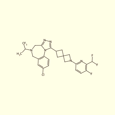 CC(N1Cc2cc(Cl)ccc2-n2c(nnc2C2CC3(C2)CN(c2ccc(F)c(C(F)F)n2)C3)C1)C(F)(F)F